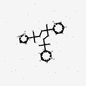 CC(C)(CCC(C)(CCC(C)(C)c1ccno1)c1ccccn1)c1cccnc1